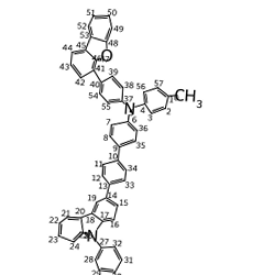 Cc1ccc(N(c2ccc(-c3ccc(-c4ccc5c(c4)c4ccccc4n5-c4ccccc4)cc3)cc2)c2ccc(-c3cccc4c3oc3ccccc34)cc2)cc1